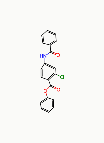 O=C(Nc1ccc(C(=O)Oc2ccccc2)c(Cl)c1)c1ccccc1